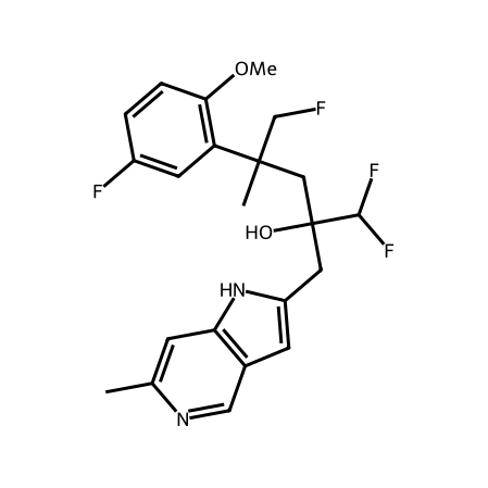 COc1ccc(F)cc1C(C)(CF)CC(O)(Cc1cc2cnc(C)cc2[nH]1)C(F)F